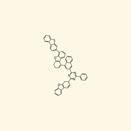 C1=CC(c2nc(-c3ccccc3)nc(-c3cc(C4=CCCc5oc6c(-c7ccc8c(c7)sc7ccccc78)cccc6c54)c4ccccc4c3)n2)Cc2oc3ccccc3c21